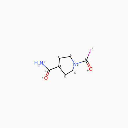 NC(=O)C1CCN(C(=O)I)CC1